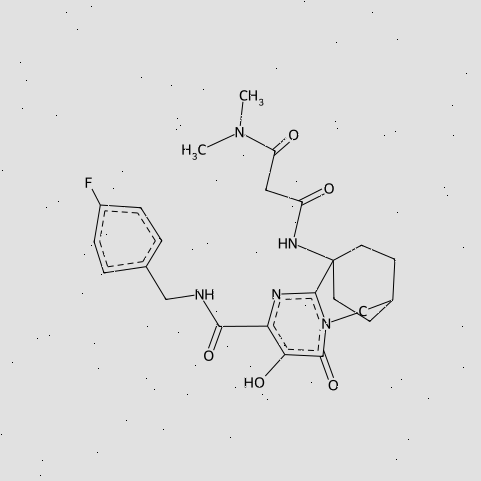 CN(C)C(=O)CC(=O)NC12CCC(CC1)Cn1c2nc(C(=O)NCc2ccc(F)cc2)c(O)c1=O